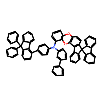 c1ccc(-c2cccc(N(c3ccc(-c4cccc5c4-c4ccccc4C5(c4ccccc4)c4ccccc4)cc3)c3cccc4c3Oc3c(ccc5c3-c3ccccc3C53c5ccccc5-c5ccccc53)O4)c2)cc1